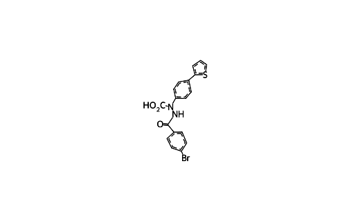 O=C(NN(C(=O)O)c1ccc(-c2cccs2)cc1)c1ccc(Br)cc1